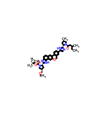 CCC(C)CC(=O)N1C[C@@H](C)C[C@H]1c1ncc(-c2ccc3c(c2)COc2cc4c(ccc5nc([C@@H]6C[C@H](COC)CN6C(=O)OC(C)(C)C)[nH]c54)cc2-3)[nH]1